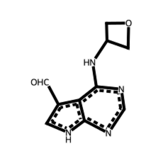 O=Cc1c[nH]c2ncnc(NC3COC3)c12